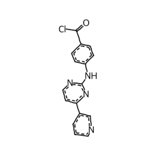 O=C(Cl)c1ccc(Nc2nccc(-c3cccnc3)n2)cc1